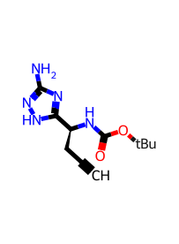 C#CC[C@H](NC(=O)OC(C)(C)C)c1nc(N)n[nH]1